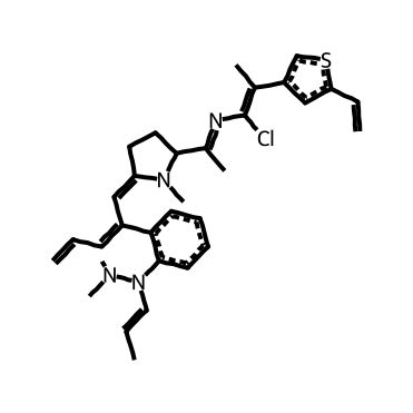 C=C/C=C(\C=C1\CCC(/C(C)=N/C(Cl)=C(\C)c2csc(C=C)c2)N1C)c1ccccc1N(C=CC)N(C)C